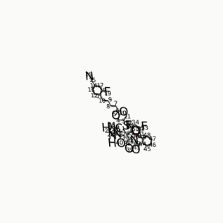 C[C@@H](SC1COC(C=CC=Cc2ccc(C#N)cc2F)OC1)[C@@](Cn1cncn1)(c1ccc(F)cc1F)C(C(=O)O)N1C(=O)c2ccccc2C1=O